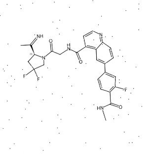 CNC(=O)c1ccc(-c2ccc3nccc(C(=O)NCC(=O)N4CC(F)(F)C[C@H]4C(C)=N)c3c2)cc1F